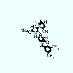 C[C@H](c1cc(C(F)(F)F)cc(C(F)(F)F)c1)N1C(=O)[C@@H]2CC1CN2C[C@H](NC(=O)OC(C)(C)C)C(=O)N1[C@H](C#N)C[C@@H]2C[C@@H]21